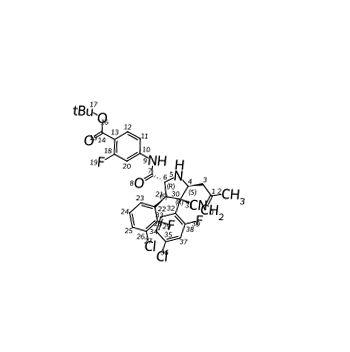 C=C(C)C[C@@H]1N[C@@H](C(=O)Nc2ccc(C(=O)OC(C)(C)C)c(F)c2)[C@H](c2cccc(Cl)c2F)[C@@]1(C#N)c1ccc(Cl)cc1F